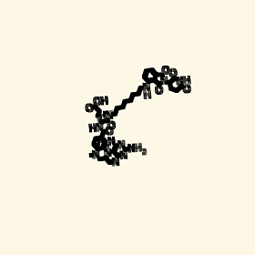 CN(Cc1cnc2nc(N)nc(N)c2n1)c1ccc(C(=O)N[C@H](CCC(=O)O)C(=O)NCCCCCCCCNc2cccc3c2C(=O)N(C2CCC(=O)NC2=O)C3=O)cc1